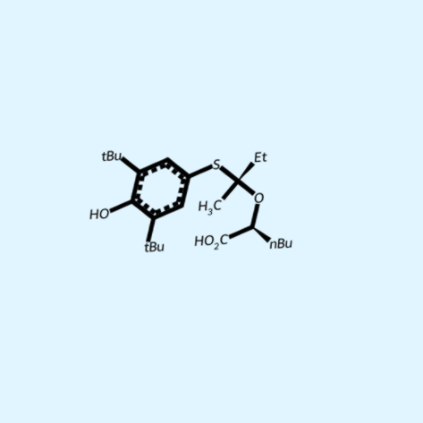 CCCC[C@H](O[C@@](C)(CC)Sc1cc(C(C)(C)C)c(O)c(C(C)(C)C)c1)C(=O)O